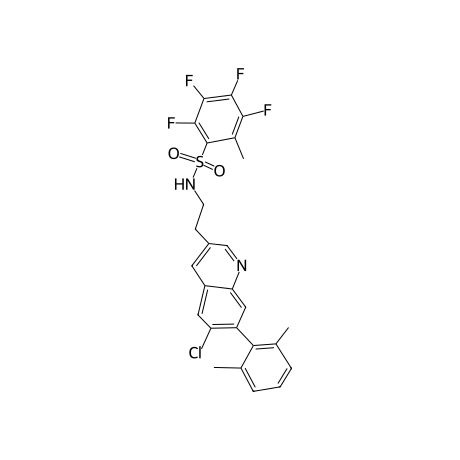 Cc1cccc(C)c1-c1cc2ncc(CCNS(=O)(=O)c3c(C)c(F)c(F)c(F)c3F)cc2cc1Cl